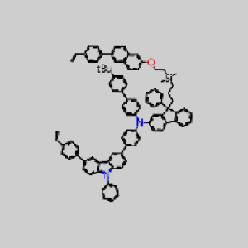 C=Cc1ccc(-c2ccc3cc(OCC[Si](C)(C)CCCC4(c5ccccc5)c5ccccc5-c5ccc(N(c6ccc(-c7ccc(C(C)(C)C)cc7)cc6)c6ccc(-c7ccc8c(c7)c7cc(-c9ccc(C=C)cc9)ccc7n8-c7ccccc7)cc6)cc54)ccc3c2)cc1